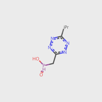 CC(C)c1nnc(C[PH](=O)O)nn1